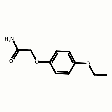 CCOc1ccc(OCC(N)=O)cc1